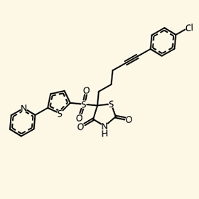 O=C1NC(=O)C(CCCC#Cc2ccc(Cl)cc2)(S(=O)(=O)c2ccc(-c3ccccn3)s2)S1